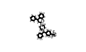 O=C(CC(c1ccccc1)c1ccccc1)N1CCN(C(c2ccccc2)c2ccc(C(F)(F)F)cc2)CC1